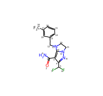 NC(=O)c1c(C(F)F)nn2c1N(Cc1cccc(C(F)(F)F)c1)CC2